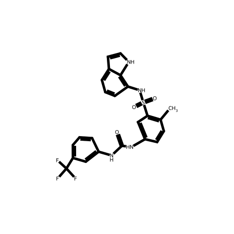 Cc1ccc(NC(=O)Nc2cccc(C(F)(F)F)c2)cc1S(=O)(=O)Nc1cccc2cc[nH]c12